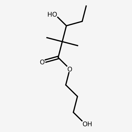 CCC(O)C(C)(C)C(=O)OCCCO